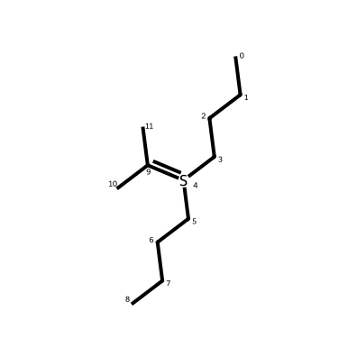 CCCCS(CCCC)=C(C)C